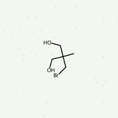 CC(CO)(CO)CBr